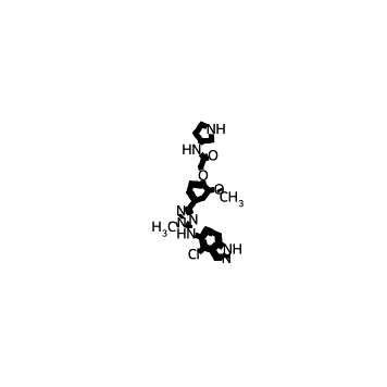 COC1CC(c2nc(Nc3ccc4[nH]ncc4c3Cl)n(C)n2)=CC=C1OCC(=O)NC1CCNC1